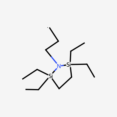 [CH2]CCN1[Si](CC)(CC)CC[Si]1(CC)CC